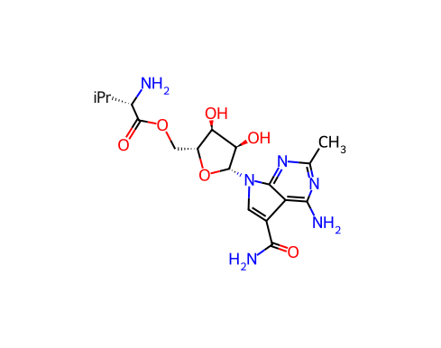 Cc1nc(N)c2c(C(N)=O)cn([C@@H]3O[C@H](COC(=O)[C@@H](N)C(C)C)[C@@H](O)[C@H]3O)c2n1